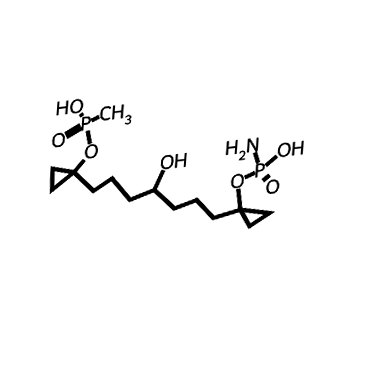 CP(=O)(O)OC1(CCCC(O)CCCC2(OP(N)(=O)O)CC2)CC1